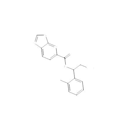 Cc1ccccc1C(CC(=O)O)NC(=O)c1ccc2nc[nH]c2n1